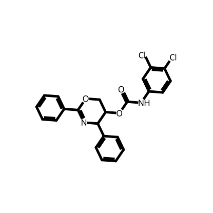 O=C(Nc1ccc(Cl)c(Cl)c1)OC1COC(c2ccccc2)=NC1c1ccccc1